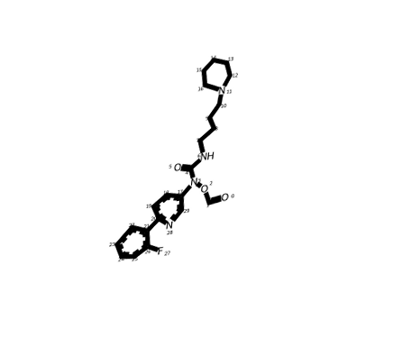 O=CON(C(=O)NCCCCN1CCCCC1)c1ccc(-c2ccccc2F)nc1